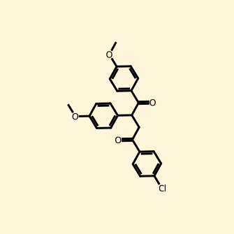 COc1ccc(C(=O)C(CC(=O)c2ccc(Cl)cc2)c2ccc(OC)cc2)cc1